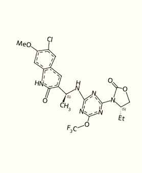 CC[C@H]1COC(=O)N1c1nc(N[C@@H](C)c2cc3cc(Cl)c(OC)cc3[nH]c2=O)nc(OC(F)(F)F)n1